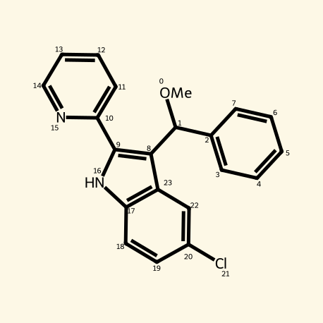 COC(c1ccccc1)c1c(-c2ccccn2)[nH]c2ccc(Cl)cc12